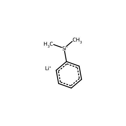 C[Si-](C)c1ccccc1.[Li+]